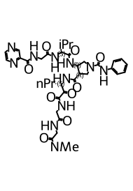 CCC[C@H](NC(=O)[C@@H]1CN(C(=O)Nc2ccccc2)C[C@@H]1NC(=O)[C@@H](NC(=O)CNC(=O)c1cnccn1)C(C)C)C(=O)C(=O)NCC(=O)NCC(=O)NC